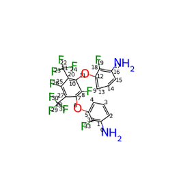 Nc1cccc(Oc2c(F)c(Oc3cccc(N)c3F)c(C(F)(F)F)c(F)c2C(F)(F)F)c1F